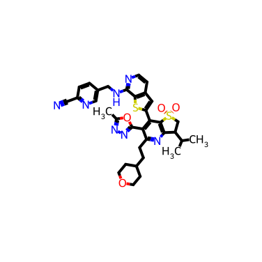 Cc1nnc(-c2c(CCC3CCOCC3)nc3c(c2-c2cc4ccnc(NCc5ccc(C#N)nc5)c4s2)S(=O)(=O)CC3C(C)C)o1